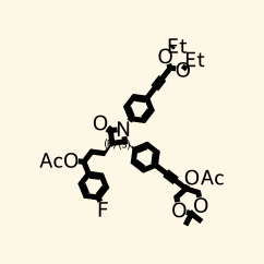 CCOC(C#Cc1ccc(N2C(=O)[C@H](CCC(OC(C)=O)c3ccc(F)cc3)[C@H]2c2ccc(C#CC3(OC(C)=O)COC(C)(C)OC3)cc2)cc1)OCC